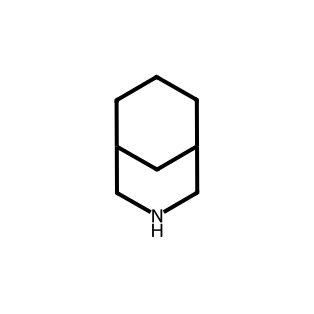 C1CC2CNCC(C1)C2